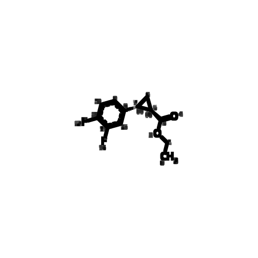 CCOC(=O)[C@@H]1C[C@H]1c1ccc(F)c(F)c1